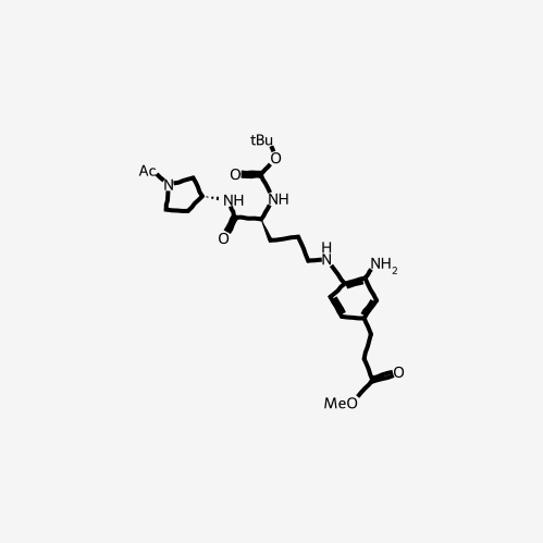 COC(=O)CCc1ccc(NCCC[C@H](NC(=O)OC(C)(C)C)C(=O)N[C@@H]2CCN(C(C)=O)C2)c(N)c1